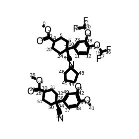 COC(=O)C1CCC(C#N)(c2ccc(OC(F)F)c(OC(F)F)c2)CC1.COC(=O)C1CCC(C#N)(c2ccc(OC)c(OC3CCCC3)c2)CC1